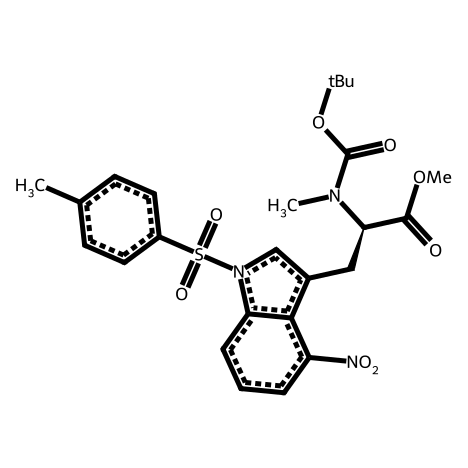 COC(=O)[C@@H](Cc1cn(S(=O)(=O)c2ccc(C)cc2)c2cccc([N+](=O)[O-])c12)N(C)C(=O)OC(C)(C)C